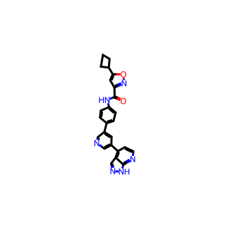 O=C(Nc1ccc(-c2cncc(-c3ccnc4[nH]ncc34)c2)cc1)c1cc(C2CCC2)on1